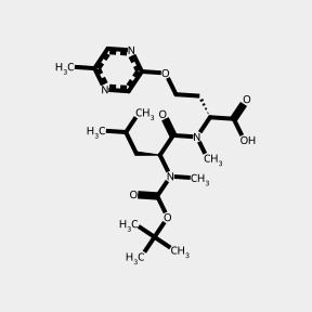 Cc1cnc(OCC[C@H](C(=O)O)N(C)C(=O)[C@H](CC(C)C)N(C)C(=O)OC(C)(C)C)cn1